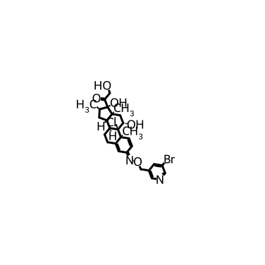 C[C@@H]1C[C@H]2[C@@H]3CCC4=C/C(=N/OCc5cncc(Br)c5)C=C[C@]4(C)[C@@]3(Cl)[C@@H](O)C[C@]2(C)[C@@]1(O)C(=O)CO